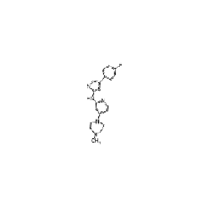 CN1CCN(c2ccnc(Nc3ncc(-c4ccc(F)cc4)s3)c2)CC1